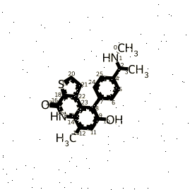 CNC(C)c1ccc(-c2c(O)cc(C)c3[nH]c(=O)c4sccc4c23)cc1